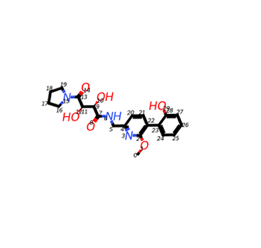 COc1nc(CNC(=O)[C@H](O)[C@@H](O)C(=O)N2CCCC2)ccc1-c1ccccc1O